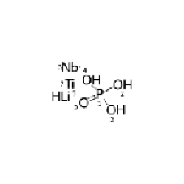 O=P(O)(O)O.[LiH].[Nb].[Ti]